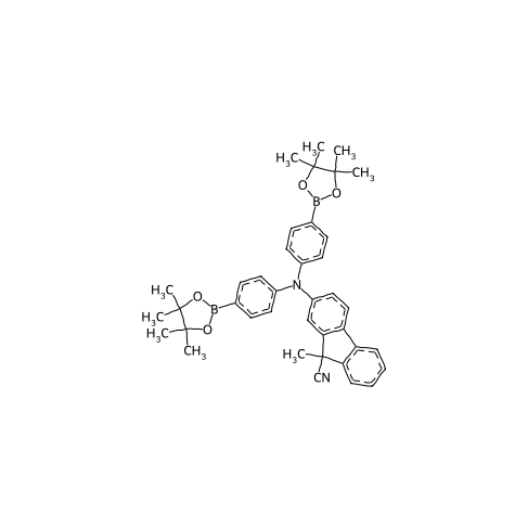 CC1(C#N)c2ccccc2-c2ccc(N(c3ccc(B4OC(C)(C)C(C)(C)O4)cc3)c3ccc(B4OC(C)(C)C(C)(C)O4)cc3)cc21